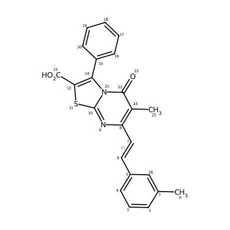 Cc1cccc(/C=C/c2nc3sc(C(=O)O)c(-c4ccccc4)n3c(=O)c2C)c1